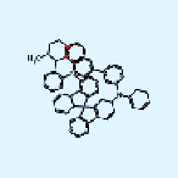 CC1CCC=CC1c1ccccc1N(c1ccccc1)c1cccc2c1C1C=CC=CC1C21C2=C(C=CC(N(C3=CC=CCC3)c3cccc(-c4ccccc4)c3)C2)c2ccccc21